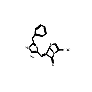 O=C([O-])C1=CSC2/C(=C\c3c[nH]c(Cc4ccccc4)n3)C(=O)N12.[Na+]